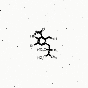 CC(C(=O)O)C(C)(Cc1cc(Br)c2[nH]nc(Cl)c2c1CO)C(=O)O